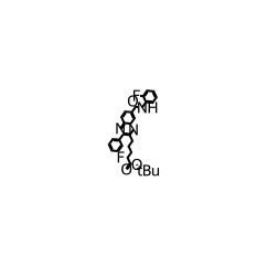 CC(C)(C)OC(=O)CCCCc1nc2cc(C(=O)Nc3ccccc3F)ccc2nc1-c1cccc(F)c1